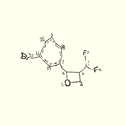 FC(F)C1COC1c1cccc(Br)c1